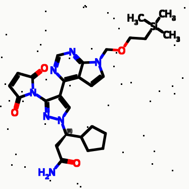 C[Si](C)(C)CCOCn1ccc2c(-c3cn([C@H](CC(N)=O)C4CCCC4)nc3N3C(=O)C=CC3=O)ncnc21